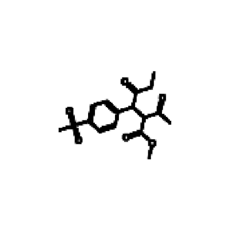 CCC(=O)C(c1ccc(S(C)(=O)=O)cc1)C(C(C)=O)C(=O)OC